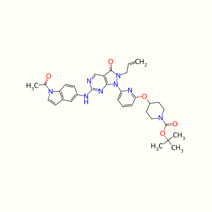 C=CCn1c(=O)c2cnc(Nc3ccc4c(ccn4C(C)=O)c3)nc2n1-c1cccc(OC2CCN(C(=O)OC(C)(C)C)CC2)n1